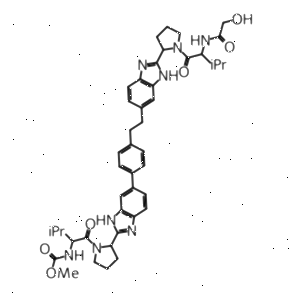 COC(=O)NC(C(=O)N1CCCC1c1nc2ccc(-c3ccc(CCc4ccc5nc(C6CCCN6C(=O)C(NC(=O)CO)C(C)C)[nH]c5c4)cc3)cc2[nH]1)C(C)C